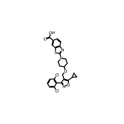 O=C(O)c1ccc2nc(N3CCC(OCc4c(-c5c(Cl)cccc5Cl)noc4C4CC4)CC3)sc2c1